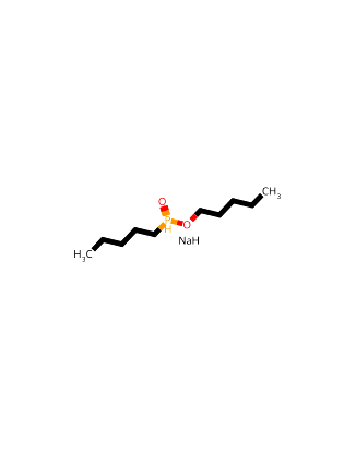 CCCCCO[PH](=O)CCCCC.[NaH]